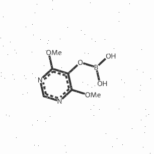 COc1ncnc(OC)c1OB(O)O